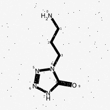 NCCCn1nn[nH]c1=O